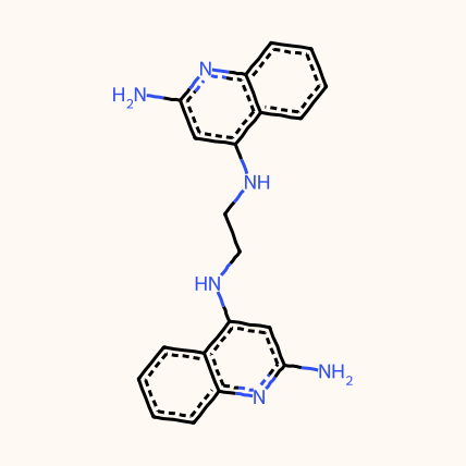 Nc1cc(NCCNc2cc(N)nc3ccccc23)c2ccccc2n1